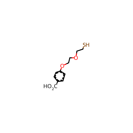 O=C(O)c1ccc(OCCOCCS)cc1